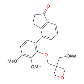 COCC1(COc2c(-c3cccc4c3CCC4=O)ccc(OC)c2OC)COC1